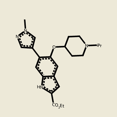 CCOC(=O)c1cc2cc(OC3CCN(C(C)C)CC3)c(-c3cnn(C)c3)cc2[nH]1